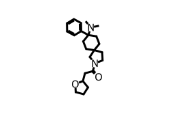 CN(C)C1(c2ccccc2)CCC2(CCN(C(=O)CC3CCCO3)C2)CC1